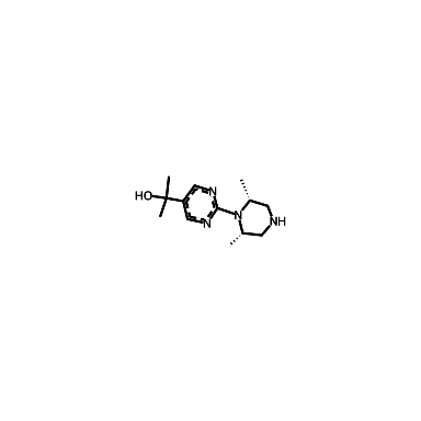 C[C@@H]1CNC[C@H](C)N1c1ncc(C(C)(C)O)cn1